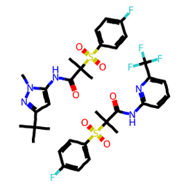 CC(C)(C(=O)Nc1cccc(C(F)(F)F)n1)S(=O)(=O)c1ccc(F)cc1.Cn1nc(C(C)(C)C)cc1NC(=O)C(C)(C)S(=O)(=O)c1ccc(F)cc1